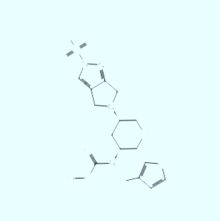 CC(C)(C)OC(=O)N[C@H]1C[C@@H](N2Cc3cn(S(C)(=O)=O)nc3C2)CO[C@@H]1c1sccc1F